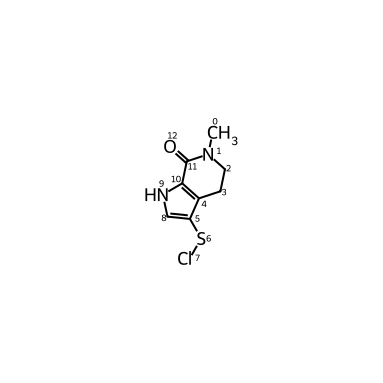 CN1CCc2c(SCl)c[nH]c2C1=O